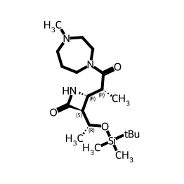 C[C@@H](O[Si](C)(C)C(C)(C)C)[C@H]1C(=O)N[C@@H]1[C@@H](C)C(=O)N1CCCN(C)CC1